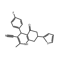 CC1=C(C#N)C(c2ccc(F)cc2)C2=C(CC(c3cccs3)CC2=O)N1